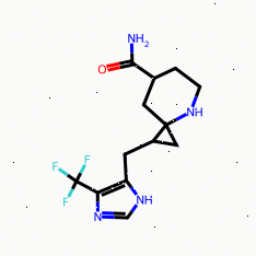 NC(=O)C1CCNC2(C1)CC2Cc1[nH]cnc1C(F)(F)F